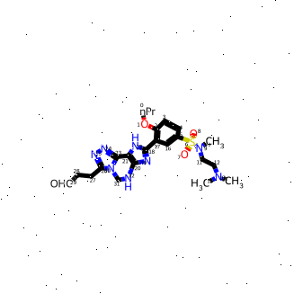 CCCOc1ccc(S(=O)(=O)N(C)CCN(C)C)cc1-c1nc2c([nH]1)-c1nnc(CCC=O)n1CN2